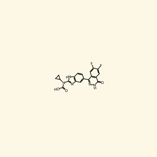 O=C(O)N(c1nc2cc(-c3n[nH]c(=O)c4cc(F)c(F)cc34)ccc2[nH]1)C1CC1